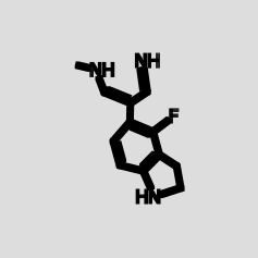 CN/C=C(\C=N)c1ccc2c(c1F)CCN2